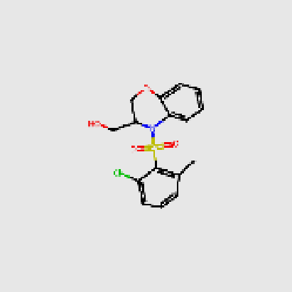 Cc1cccc(Cl)c1S(=O)(=O)N1c2ccccc2OCC1CO